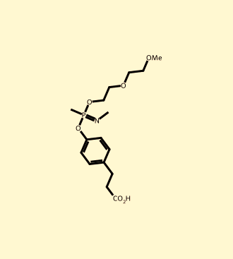 CN=P(C)(OCCOCCOC)Oc1ccc(CCC(=O)O)cc1